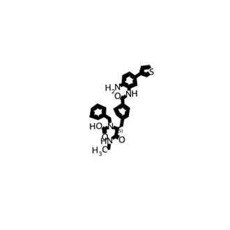 CCNC(=O)[C@H](Cc1ccc(C(=O)Nc2cc(-c3ccsc3)ccc2N)cc1)N(Cc1ccccc1)C(=O)O